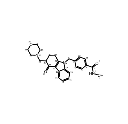 O=C(NO)c1ccc(Cn2c3c(c4ccccc42)C(=O)C(CN2CCOCC2)CC3)cc1